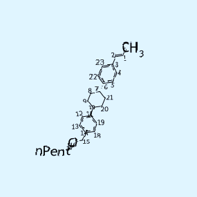 CC=Cc1ccc([C@H]2CC[C@H](c3ccc(COCCCCC)cc3)CC2)cc1